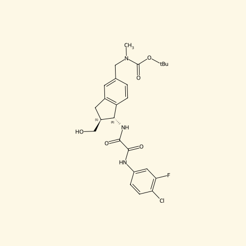 CN(Cc1ccc2c(c1)C[C@H](CO)[C@H]2NC(=O)C(=O)Nc1ccc(Cl)c(F)c1)C(=O)OC(C)(C)C